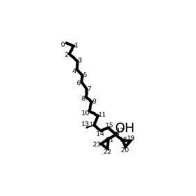 CCCCCCCCCCCC[C@H](C)CCC(O)(C1CC1)C1CC1